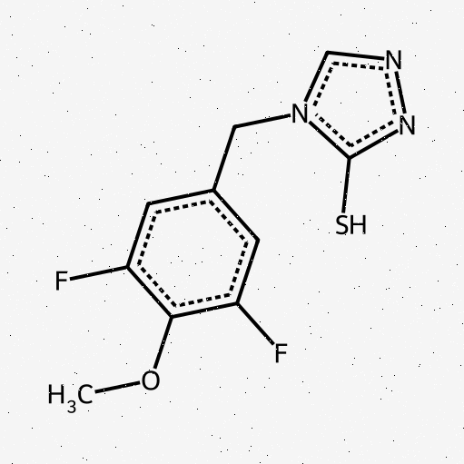 COc1c(F)cc(Cn2cnnc2S)cc1F